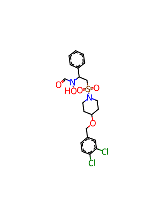 O=CN(O)C(CS(=O)(=O)N1CCC(OCc2ccc(Cl)c(Cl)c2)CC1)c1ccccc1